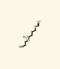 O=CSCCC[SiH2]OCCS